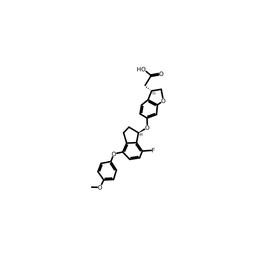 COc1ccc(Oc2ccc(F)c3c2CC[C@H]3Oc2ccc3c(c2)OC[C@H]3CC(=O)O)cc1